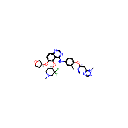 C=N/C(=C\c1ncnn1C)Oc1ccc(Nc2ncnc3ccc(O[C@H]4CCOC4)c(O[C@@H]4CCN(C)CC4(F)F)c23)cc1C